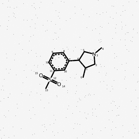 CC1CN(C)CC1c1cccc(S(C)(=O)=O)c1